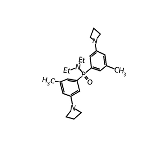 CCN(CC)P(=O)(c1cc(C)cc(N2CCC2)c1)c1cc(C)cc(N2CCC2)c1